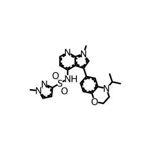 CC(C)N1CCOc2ccc(-c3cn(C)c4nccc(NS(=O)(=O)c5ccn(C)n5)c34)cc21